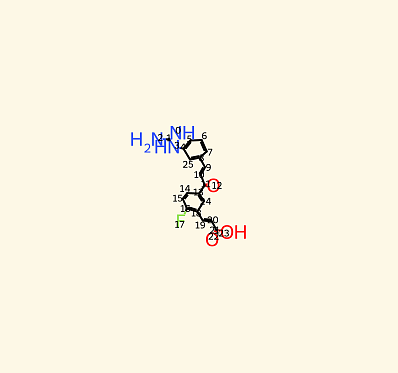 N=C(N)Nc1cccc(C=CC(=O)c2ccc(F)c(C=CC(=O)O)c2)c1